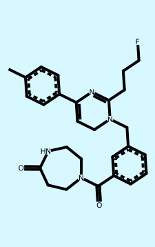 Cc1ccc(C2=CCN(Cc3cccc(C(=O)N4CCNC(=O)CC4)c3)C(CCCF)=N2)cc1